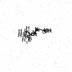 COc1cc(OC)cc(N(CCNC(C)C)c2ccc3ncc(-c4cnn(CCCCCC(=O)NO)c4)nc3c2)c1